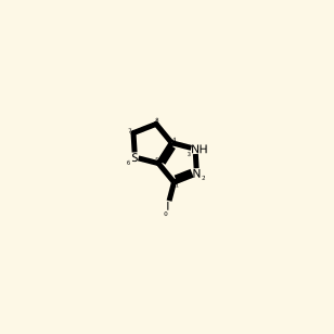 Ic1n[nH]c2c1SCC2